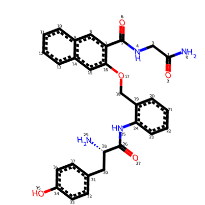 NC(=O)CNC(=O)c1cc2ccccc2cc1OCc1ccccc1NC(=O)[C@@H](N)Cc1ccc(O)cc1